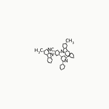 Cc1ccc2c(c1)c1ccccc1n2-c1cc(-c2cc(-c3ccccc3)nc(-c3ccccc3)c2)c(-n2c3ccccc3c3cc(C)ccc32)cc1C#N